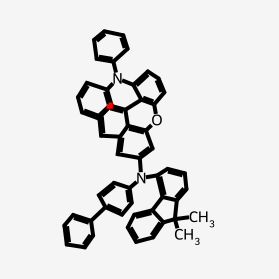 CC1(C)c2ccccc2-c2c(N(c3ccc(-c4ccccc4)cc3)c3cc4c5c(cccc5c3)-c3c(cccc3N(c3ccccc3)c3ccccc3)O4)cccc21